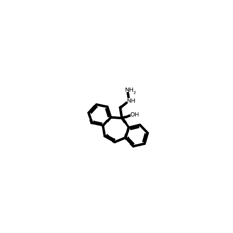 NNCC1(O)c2ccccc2C=Cc2ccccc21